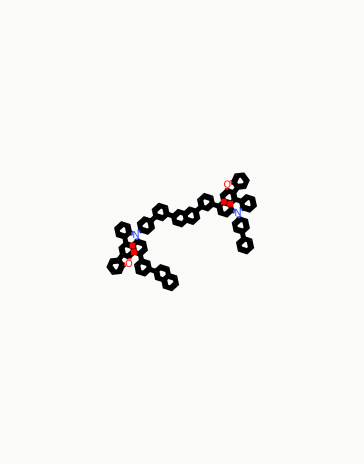 c1ccc(-c2ccc(N(c3ccc(-c4cccc(-c5ccc6ccc(-c7cccc(-c8ccc(N(c9ccc(-c%10cccc(-c%11ccc%12ccccc%12c%11)c%10)cc9)c9ccccc9-c9ccc%10oc%11ccccc%11c%10c9)cc8)c7)cc6c5)c4)cc3)c3ccccc3-c3cccc4oc5ccccc5c34)cc2)cc1